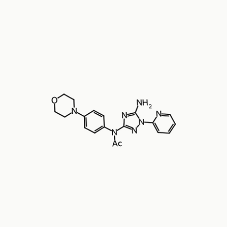 CC(=O)N(c1ccc(N2CCOCC2)cc1)c1nc(N)n(-c2ccccn2)n1